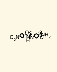 NS(=O)(=O)c1ccc(NC(=S)NC(=O)c2ccc([N+](=O)[O-])cc2)cc1